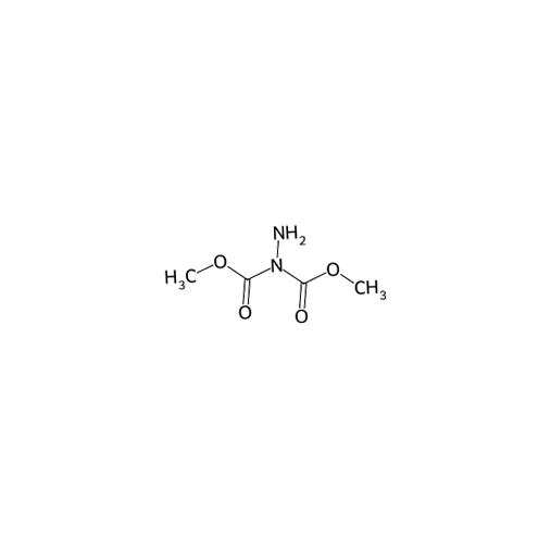 COC(=O)N(N)C(=O)OC